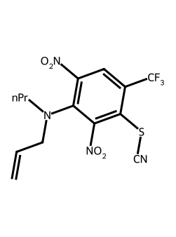 C=CCN(CCC)c1c([N+](=O)[O-])cc(C(F)(F)F)c(SC#N)c1[N+](=O)[O-]